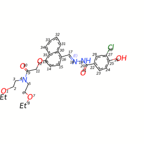 CCOCCN(CCOCC)C(=O)COc1ccc(/C=N/NC(=O)c2ccc(O)c(Cl)c2)c2ccccc12